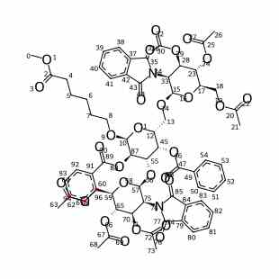 COC(=O)CCCCCO[C@H]1O[C@H](CO[C@@H]2O[C@H](COC(C)=O)[C@@H](OC(C)=O)[C@H](OC(C)=O)[C@@H]2N2C(=O)c3ccccc3C2=O)[C@H](OC(=O)c2ccccc2)[C@H](O[C@@H]2O[C@H](COC(C)=O)[C@@H](OC(C)=O)[C@H](OC(C)=O)[C@@H]2N2C(=O)c3ccccc3C2=O)[C@H]1OC(=O)c1ccccc1